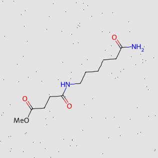 COC(=O)CCC(=O)NCCCCCC(N)=O